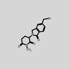 CC(C)Cc1ccc2c(c1)CN(C1CCC(=O)N(C)C1=O)C2=O